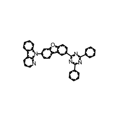 c1ccc(-c2nc(-c3ccccc3)nc(-c3ccc4oc5cc(-n6c7ccccc7c7cccnc76)ccc5c4c3)n2)cc1